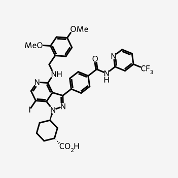 COc1ccc(CNc2ncc(I)c3c2c(-c2ccc(C(=O)Nc4cc(C(F)(F)F)ccn4)cc2)nn3[C@@H]2CCC[C@@H](C(=O)O)C2)c(OC)c1